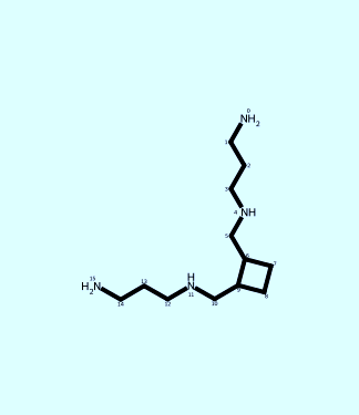 NCCCNCC1CCC1CNCCCN